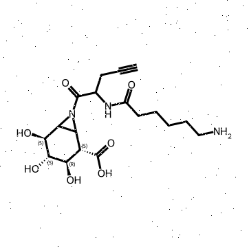 C#CCC(NC(=O)CCCCCN)C(=O)N1C2C1[C@H](C(=O)O)[C@@H](O)[C@H](O)[C@H]2O